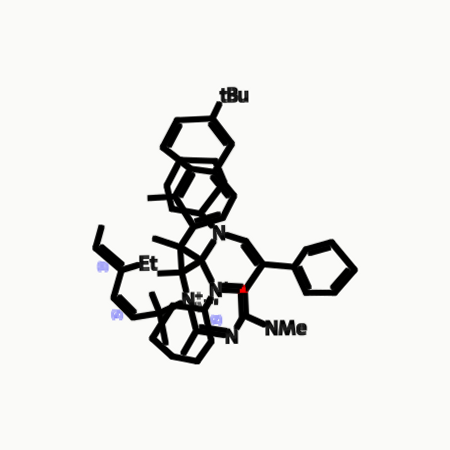 C=C(/N=C(/C)[N@@+](C)(C(C)(C)/C=C\C(=C\C)CC)C1(C)C(C)(c2ccc3cc(C(C)(C)C)ccc3c2C)C12N(C1CCCCC1)C=C(c1ccccc1)C=[N+]2C1CCCCC1)NC